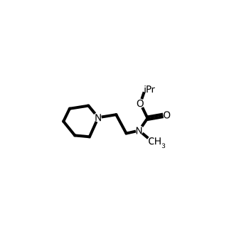 CC(C)OC(=O)N(C)CCN1CCCCC1